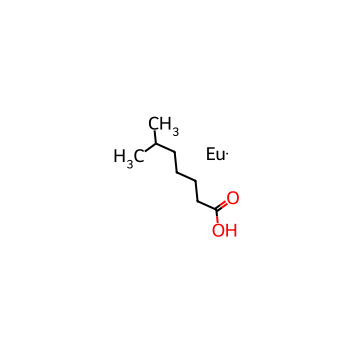 CC(C)CCCCC(=O)O.[Eu]